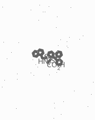 O=C(Cc1cccc2ccccc12)N[C@@H](CSC(c1ccccc1)(c1ccccc1)c1ccccc1)C(=O)O